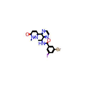 CC(NC(=O)c1cc(Br)cc(I)c1)c1nccnc1-c1ccc(=O)n(C)n1